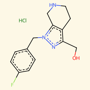 Cl.OCc1nn(Cc2ccc(F)cc2)c2c1CCNC2